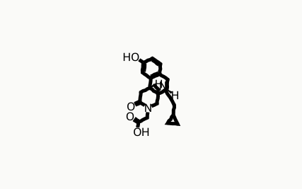 O=C(O)CN1C[C@H]2[C@H]3Cc4ccc(O)cc4[C@@]2(CCN3CC2CC2)CC1=O